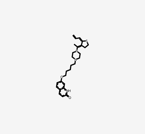 C=C/C=C1/SCC/C1=C(/C)N1CCN(CCCCCOc2ccc3ccc(=O)[nH]c3c2)CC1